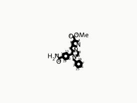 COC(=O)c1cnc2c(c1)CC1C(c3ccc(C(N)=O)cc3)N(Cc3ccccc3)CCN21